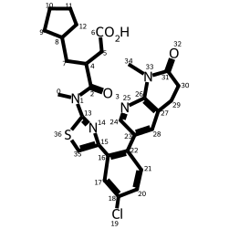 CN(C(=O)C(CC(=O)O)CC1CCCC1)c1nc(-c2cc(Cl)ccc2-c2cnc3c(c2)CCC(=O)N3C)cs1